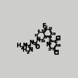 NC(N)=NC(=O)N1CCc2c(F)ccc(-c3ncc(Cl)cc3Cl)c2C1